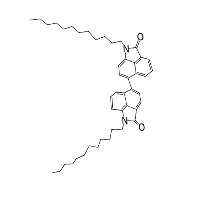 CCCCCCCCCCCCN1C(=O)c2ccc(-c3ccc4c5c(cccc35)C(=O)N4CCCCCCCCCCCC)c3cccc1c23